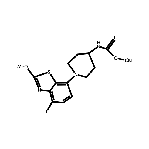 COc1nc2c(I)ccc(N3CCC(NC(=O)OC(C)(C)C)CC3)c2s1